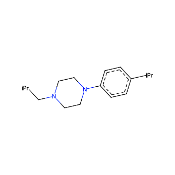 CC(C)CN1CCN(c2ccc(C(C)C)cc2)CC1